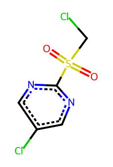 O=S(=O)(CCl)c1ncc(Cl)cn1